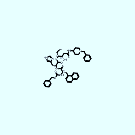 CC(C)C[C@H](NC(=O)[C@H](Cc1c[nH]cn1)NC(=O)[C@H](Cc1cccc2ccccc12)NC(=O)OCc1ccccc1)[C@@H](O)CC(=O)NC1CCN(Cc2ccccc2)CC1